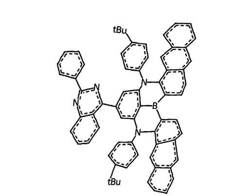 CC(C)(C)c1ccc(N2c3cc(-c4nc(-c5ccccc5)nc5ccccc45)cc4c3B(c3ccc5cc6ccccc6cc5c32)c2ccc3cc5ccccc5cc3c2N4c2ccc(C(C)(C)C)cc2)cc1